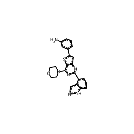 Nc1cccc(-c2cc3nc(-c4cccc5[nH]ncc45)nc(N4CCOCC4)c3s2)c1